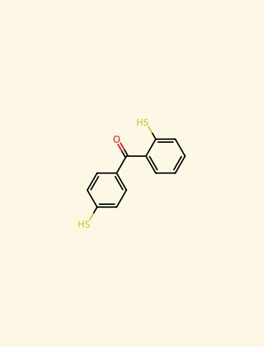 O=C(c1ccc(S)cc1)c1ccccc1S